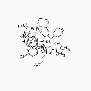 Cl.Cl.[CH2]=[Zr]([C]1=CC(C(C)(C)C)=CC1CCC)([c]1ccc(Cl)cc1)([c]1ccc(Cl)cc1)[C]1(C)C2=C3Cc4ccccc4C3=C3C=CCCC3C2(C)C(C)(C)C(C)(C)C1(C)C